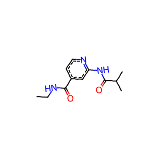 CCNC(=O)c1ccnc(NC(=O)C(C)C)c1